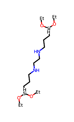 CCO[SiH](CCCNCCNCCC[SiH](OCC)OCC)OCC